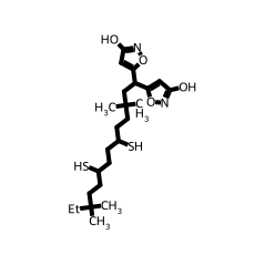 CCC(C)(C)CCC(S)CCC(S)CCC(C)(C)CC(c1cc(O)no1)c1cc(O)no1